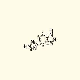 c1nc(-c2ccc3[nH]ncc3c2)n[nH]1